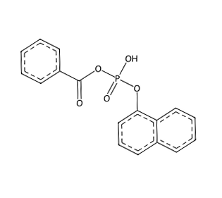 O=C(OP(=O)(O)Oc1cccc2ccccc12)c1ccccc1